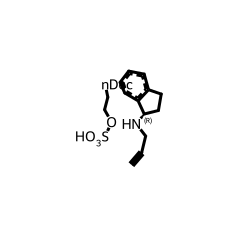 C#CCN[C@@H]1CCc2ccccc21.CCCCCCCCCCCCOS(=O)(=O)O